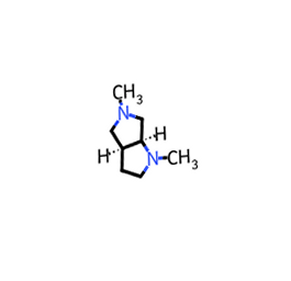 CN1C[C@@H]2CCN(C)[C@@H]2C1